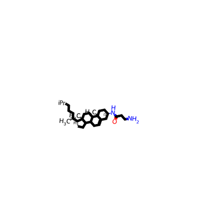 CC(C)CCC[C@@H](C)[C@H]1CCC2C3CC=C4C[C@@H](NC(=O)CCN)CC[C@]4(C)C3CC[C@@]21C